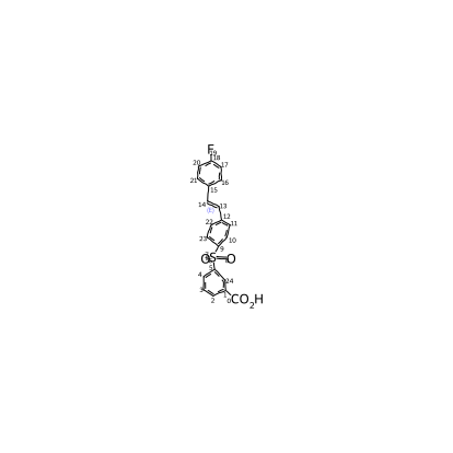 O=C(O)c1cccc(S(=O)(=O)c2ccc(/C=C/c3ccc(F)cc3)cc2)c1